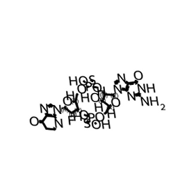 Nc1nc2c(ncn2[C@@H]2O[C@@H]3COP(O)(=S)O[C@H]4[C@H](F)[C@H](n5cnc6c5N=CCC6=O)O[C@@H]4COP(O)(=S)O[C@@H]2[C@@H]3O)c(=O)[nH]1